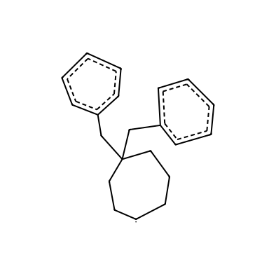 [CH]1CCCC(Cc2ccccc2)(Cc2ccccc2)CC1